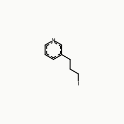 ICCCc1cccnc1